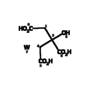 O=C(O)CC(O)(CC(=O)O)C(=O)O.[W]